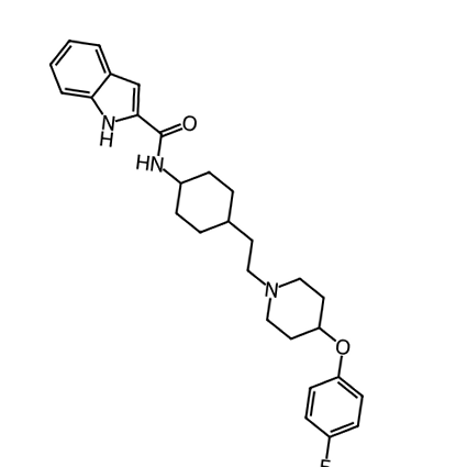 O=C(NC1CCC(CCN2CCC(Oc3ccc(F)cc3)CC2)CC1)c1cc2ccccc2[nH]1